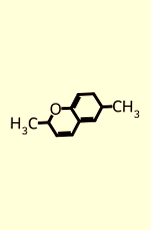 CC1C=C2C=CC(C)OC2=CC1